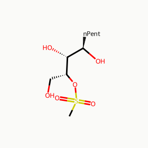 CCCCC[C@@H](O)[C@@H](O)[C@@H](CO)OS(C)(=O)=O